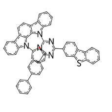 c1ccc(-c2ccc(-c3nc(-c4ccc5c(c4)sc4ccccc45)nc(-n4c5ccccc5c5ccc6c7ccccc7n(-c7ccccc7)c6c54)n3)cc2)cc1